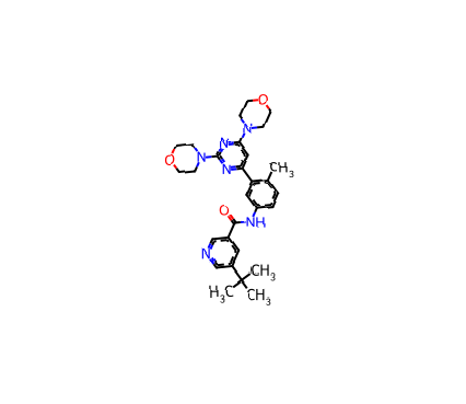 Cc1ccc(NC(=O)c2cncc(C(C)(C)C)c2)cc1-c1cc(N2CCOCC2)nc(N2CCOCC2)n1